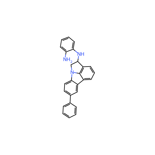 Nc1ccccc1NC1Cn2c3ccc(-c4ccccc4)cc3c3cccc1c32